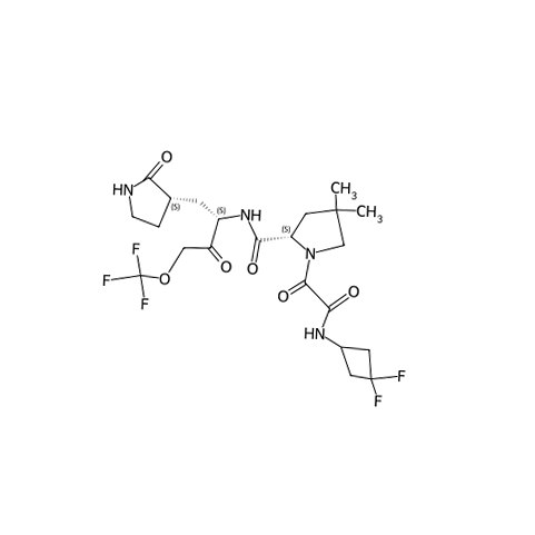 CC1(C)C[C@@H](C(=O)N[C@@H](C[C@@H]2CCNC2=O)C(=O)COC(F)(F)F)N(C(=O)C(=O)NC2CC(F)(F)C2)C1